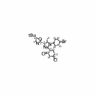 Cc1c(-c2ncc(C(C)(C)C)o2)nc(-c2ccc(Cl)cc2Cl)n1-c1ccc(Br)cc1